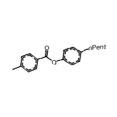 CCCCCc1ccc(OC(=O)c2ccc(C)cc2)cc1